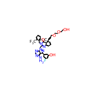 CC1(C#CCOCCOCCO)C=CC=C2N=C(Cn3nc(-c4cc(O)cc(F)c4)c4c(N)ncnc43)N(Cc3ccccc3C(F)(F)F)C(=O)C21